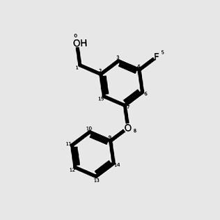 OCc1cc(F)cc(Oc2ccccc2)c1